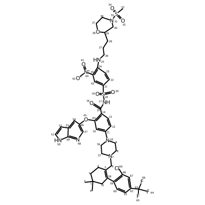 CC1(C)CCC(CN2CCN(c3ccc(C(=O)NS(=O)(=O)c4ccc(NCCCC5CN(S(C)(=O)=O)CCO5)c([N+](=O)[O-])c4)c(Oc4cnc5[nH]ccc5c4)c3)CC2)=C(c2ccc(C(F)(F)F)cc2Cl)C1